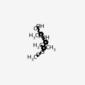 CCOCCOc1cc(C)c(-c2cccc(CNc3ccc(CCC(=O)O)c(C)n3)c2)c(C)c1